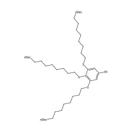 [CH2]Cc1cc(SCCCCCCCCCCCCCCCCCC)c(SCCCCCCCCCCCCCCCCCC)c(SCCCCCCCCCCCCCCCCCC)c1